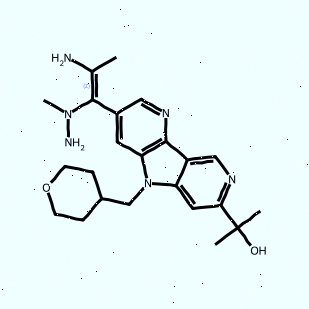 C/C(N)=C(\c1cnc2c3cnc(C(C)(C)O)cc3n(CC3CCOCC3)c2c1)N(C)N